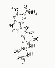 COc1cc2nccc(Oc3ccc(Nc4nc(=O)cc(C)[nH]4)c(Cl)c3)c2cc1C(N)=O